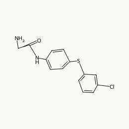 NCC(=O)Nc1ccc(Sc2cccc(Cl)c2)cc1